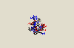 CC(C)C[C@H](N)C(=O)N[C@@H](CCCNC(=N)N)C(=O)N[C@@H](CCC(=O)O)C(=O)N[C@@H](Cc1ccccc1)C(=O)N[C@H](C(=O)N[C@@H](Cc1ccccc1)C(=O)N[C@@H](CCCCN)C(=O)N[C@@H](CC(N)=O)C(=O)N[C@@H](CO)C(=O)N[C@@H](CO)C(=O)O)C(C)C